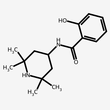 CC1(C)CC(NC(=O)c2ccccc2O)CC(C)(C)N1